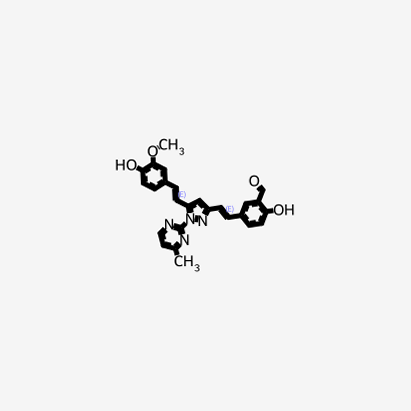 COc1cc(/C=C/c2cc(/C=C/c3ccc(O)c(C=O)c3)nn2-c2nccc(C)n2)ccc1O